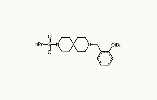 CCCS(=O)(=O)N1CCC2(CCN(Cc3ccccc3OCC(C)C)CC2)CC1